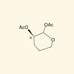 CC(=O)OC1OCCC[C@H]1OC(C)=O